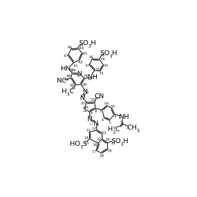 C=C(C)Nc1ccc(-c2c(/N=N/c3cc(S(=O)(=O)O)c4cccc(S(=O)(=O)O)c4c3)sc(N=Nc3c(Nc4ccc(S(=O)(=O)O)cc4)nc(Nc4ccc(S(=O)(=O)O)cc4)c(C#N)c3C)c2C#N)cc1